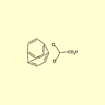 O=C(O)C(Cl)Cl.c1cc2ccc1-c1ccc-2cc1